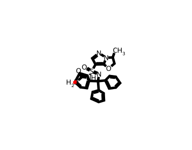 CC1COc2c(S(=O)(=NC(c3ccccc3)(c3ccccc3)c3ccccc3)NC(N)=O)cnn21